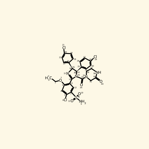 CCOc1cc(Cl)c(S(N)(=O)=O)cc1C1=N[C@@H](c2ccc(Cl)cc2)[C@@H](c2ccc(Cl)cc2)N1C(=O)N1CCNC(=O)C1